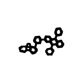 C1=CCCC(c2c3ccccc3c(-c3ccccc3)c3ccc(-c4cccc(-c5cccc6c5OC5C=CC=CC65)c4)cc23)=C1